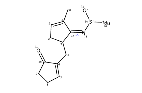 CC1=CCC(CC2=CCCC2=O)/C1=N/[S+]([O-])C(C)(C)C